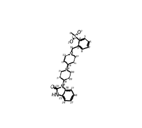 CS(=O)(=O)c1ccccc1CN1CCC(N2CCC(n3c(=O)[nH]c4ccccc43)CC2)CC1